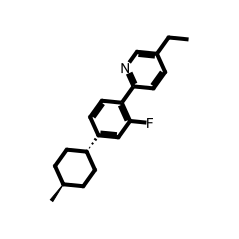 CCc1ccc(-c2ccc([C@H]3CC[C@H](C)CC3)cc2F)nc1